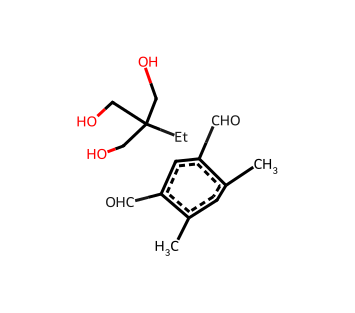 CCC(CO)(CO)CO.Cc1cc(C)c(C=O)cc1C=O